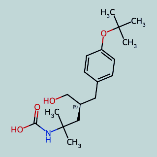 CC(C)(C[C@@H](CO)Cc1ccc(OC(C)(C)C)cc1)NC(=O)O